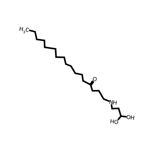 CCCCCCCCCCCCCC(=O)CCCNCCC(O)O